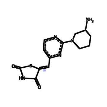 NC1CCCN(c2nccc(/C=C3\SC(=O)NC3=O)n2)C1